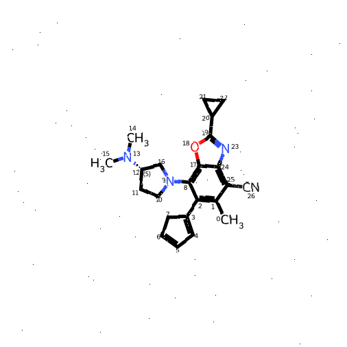 Cc1c(C2=CC=CC2)c(N2CC[C@H](N(C)C)C2)c2oc(C3CC3)nc2c1C#N